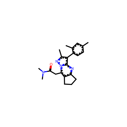 Cc1ccc(-c2c(C)nn3c(CC(=O)N(C)C)c4c(nc23)CCC4)c(C)c1